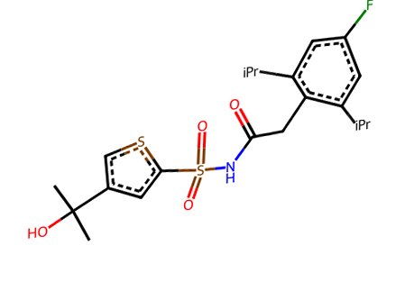 CC(C)c1cc(F)cc(C(C)C)c1CC(=O)NS(=O)(=O)c1cc(C(C)(C)O)cs1